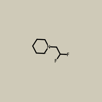 FC(F)CN1[CH]CCCC1